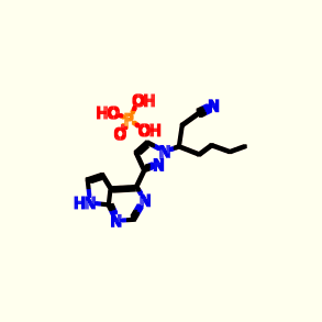 CCCCC(CC#N)n1ccc(-c2ncnc3[nH]ccc23)n1.O=P(O)(O)O